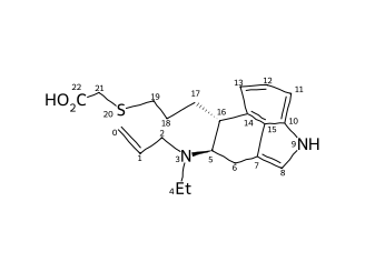 C=CCN(CC)[C@@H]1Cc2c[nH]c3cccc(c23)[C@H]1CCCSCC(=O)O